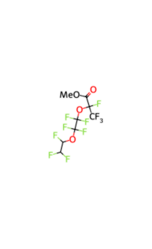 COC(=O)C(F)(OC(F)(F)C(F)(F)OC(F)C(F)F)C(F)(F)F